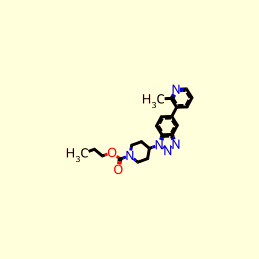 CCCOC(=O)N1CCC(n2nnc3cc(-c4cccnc4C)ccc32)CC1